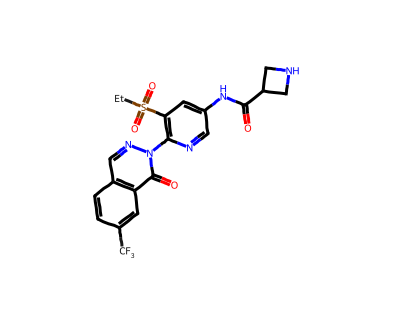 CCS(=O)(=O)c1cc(NC(=O)C2CNC2)cnc1-n1ncc2ccc(C(F)(F)F)cc2c1=O